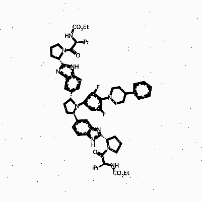 CCOC(=O)N[C@H](C(=O)N1CCC[C@H]1c1nc2cc([C@H]3CC[C@H](c4ccc5[nH]c([C@@H]6CCCN6C(=O)[C@@H](NC(=O)OCC)C(C)C)nc5c4)N3c3cc(F)c(N4CCC(c5ccccc5)CC4)c(F)c3)ccc2[nH]1)C(C)C